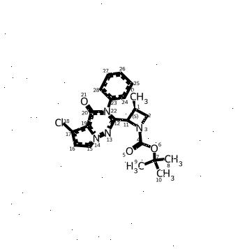 C[C@H]1CN(C(=O)OC(C)(C)C)C1c1nn2ccc(Cl)c2c(=O)n1-c1ccccc1